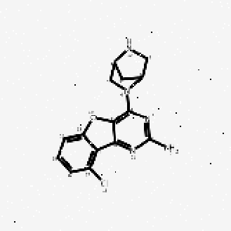 Nc1nc(N2CC3CC2CN3)c2oc3cccc(Cl)c3c2n1